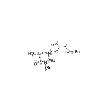 Cc1cn([C@H]2C=C[C@@H](COC(C)(C)C)O2)c(=O)n(C(C)(C)C)c1=O